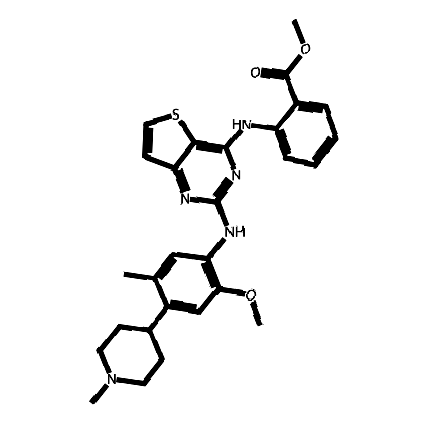 COC(=O)c1ccccc1Nc1nc(Nc2cc(C)c(C3CCN(C)CC3)cc2OC)nc2ccsc12